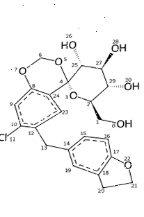 OC[C@H]1O[C@]2(OCOc3cc(Cl)c(Cc4ccc5c(c4)CCO5)cc32)[C@H](O)[C@@H](O)[C@@H]1O